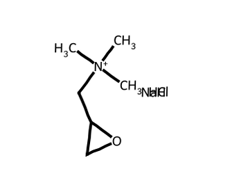 C[N+](C)(C)CC1CO1.Cl.[NaH]